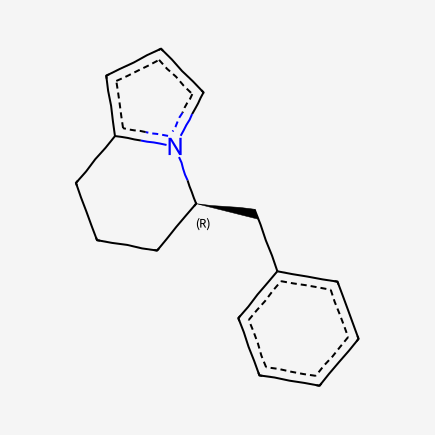 c1ccc(C[C@H]2CCCc3cccn32)cc1